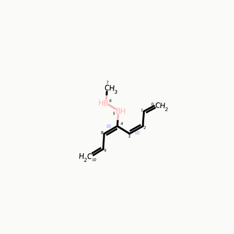 C=C/C=C\C(BBC)=C/C=C